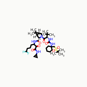 CC(C)(C)[C@H](NC(=O)NC1(CS(=O)(=O)C(C)(C)C)CCCCC1)C(=O)N1C[C@H]2[C@@H]([C@H]1C(=O)NC(CCCC(F)F)C(=O)C(=O)NC1CC1)C2(C)C